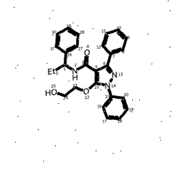 CCC(NC(=O)c1c(-c2ccccc2)nn(-c2ccccc2)c1OCCO)c1ccccc1